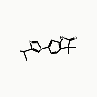 CC(C)c1cn(-c2ccc3c(c2)NC(=O)C3(C)C)cn1